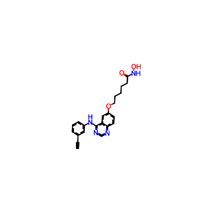 C#Cc1cccc(Nc2ncnc3ccc(OCCCCCC(=O)NO)cc23)c1